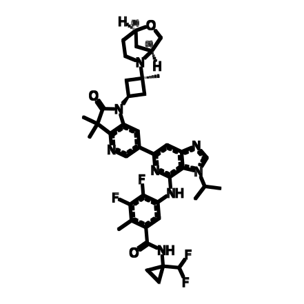 Cc1c(C(=O)NC2(C(F)F)CC2)cc(Nc2nc(-c3cnc4c(c3)N([C@H]3C[C@@](C)(N5CC[C@@H]6C[C@H]5CO6)C3)C(=O)C4(C)C)cc3ncn(C(C)C)c23)c(F)c1F